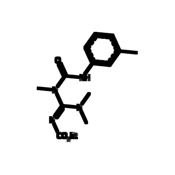 CCOC(=O)N=C(N(C)C)N(C)C(=O)Nc1cccc(C)c1